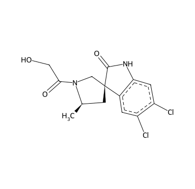 C[C@@H]1C[C@@]2(CN1C(=O)CO)C(=O)Nc1cc(Cl)c(Cl)cc12